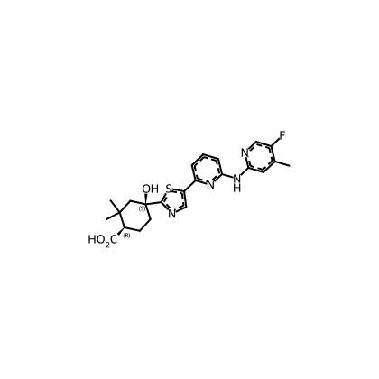 Cc1cc(Nc2cccc(-c3cnc([C@]4(O)CC[C@@H](C(=O)O)C(C)(C)C4)s3)n2)ncc1F